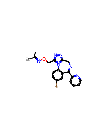 CCC(C)=NOCc1nnc2n1-c1ccc(Br)cc1C(c1ccccn1)=NC2